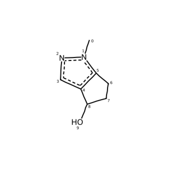 Cn1ncc2c1CCC2O